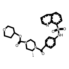 C[C@@H]1CN(C(=O)OC2CCOCC2)CCN1C(=O)c1ccc(NS(=O)(=O)c2cccc3cccnc23)cc1